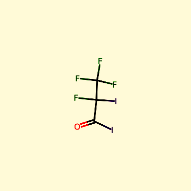 O=C(I)C(F)(I)C(F)(F)F